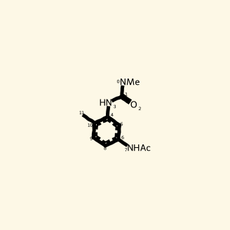 CNC(=O)Nc1cc(NC(C)=O)ccc1C